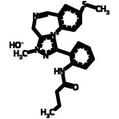 CCCC(=O)Nc1ccccc1-c1nn(C)c2[n+]1-c1ccc(SC)cc1C=NC2.[OH-]